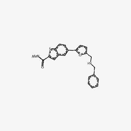 CNC(=O)c1cc2cc(-c3ccc(CNCc4ccccc4)o3)ccc2s1